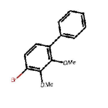 COc1c(Br)ccc(-c2ccccc2)c1OC